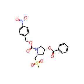 CS(=O)(=O)C[C@@H]1C[C@@H](OC(=O)c2ccccc2)CN1C(=O)OCc1ccc([N+](=O)[O-])cc1